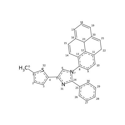 Cc1ccc(-c2cn(-c3ccc4c5c3C=CC3=CC=CC(=CC4)C35)c(-c3ccccc3)n2)s1